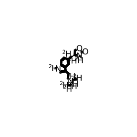 [2H]N1C(=O)OC[C@@H]1C([2H])([2H])c1ccc2c(c1)c(CCN(C([2H])([2H])[2H])C([2H])([2H])[2H])cn2[2H]